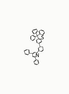 C1=CC(c2cc(-c3ccccc3)cc(-c3ccccc3)n2)=CC(c2ccc3c(c2)Sc2ccccc2C3(c2ccccc2)c2ccccc2)C1